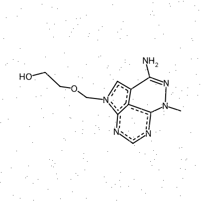 CN1N=C(N)c2cn(COCCO)c3ncnc1c23